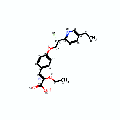 CCO/C(=C\c1ccc(OC[C@H](F)c2ccc(CC)cn2)cc1)C(=O)O